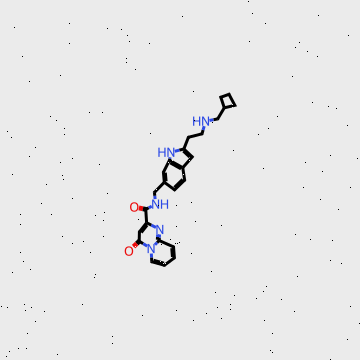 O=C(NCc1ccc2cc(CCNCC3CCC3)[nH]c2c1)c1cc(=O)n2ccccc2n1